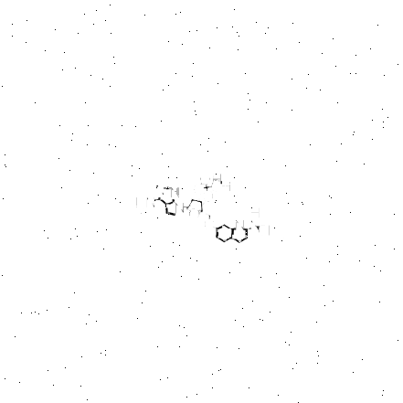 CNc1ccc2ccc(OC[C@H]3O[C@@H](n4ccc5c(N)ncnc54)C[C@@H]3OC(C)(C)O)cc2n1